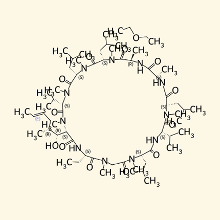 C/C=C/C[C@@H](C)[C@@H](O)[C@H]1C(=O)N[C@@H](CC)C(=O)N(C)CC(=O)N(C)[C@@H](CC(C)C)C(=O)N[C@@H](C(C)C)C(=O)N(C)[C@@H](CC(C)C)C(=O)N[C@@H](C)C(=O)N[C@H](C)C(=O)N(C)[C@@H](CC(C)C)C(=O)N(C)[C@@H](CC(C)C)C(=O)N(C)[C@@H](C(C)C)C(=O)N1C.CCOCC